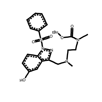 CN(CCN(C)C(=O)OC(C)(C)C)Cc1nn(S(=O)(=O)c2ccccc2)c2ccc(O)cc12